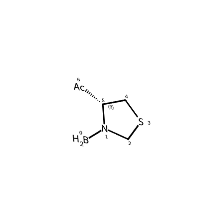 BN1CSC[C@H]1C(C)=O